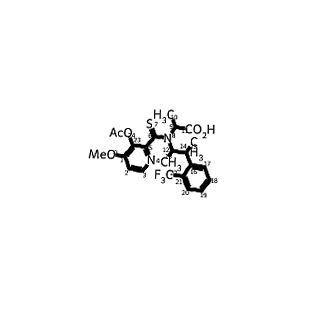 COc1ccnc(C(=S)N(C(C)C(=O)O)C(C)C(C)c2ccccc2C(F)(F)F)c1OC(C)=O